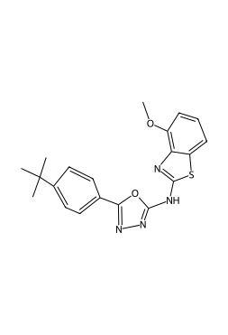 COc1cccc2sc(Nc3nnc(-c4ccc(C(C)(C)C)cc4)o3)nc12